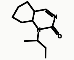 CCC(C)N1C(=O)N=CC2CCCCC21